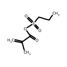 C=C(C)C(=O)OS(=O)(=O)CCC